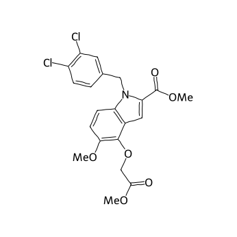 COC(=O)COc1c(OC)ccc2c1cc(C(=O)OC)n2Cc1ccc(Cl)c(Cl)c1